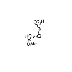 COCC(C)(C)C(O)C=C[C@H]1C=CC[C@@H]1C/C=C\CCCC(=O)O